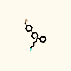 FCCCC[Si]1(c2ccccc2)CCC([C@H]2CC[C@H](CBr)CC2)CC1